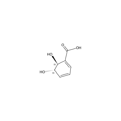 O=C(O)C1=CC=C[C@H](O)[C@H]1O